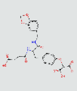 O=C(O)CCC(=O)NC(Cc1ccc(OC(C(=O)O)C(=O)O)cc1)C(=O)NCc1ccc2c(c1)OCO2